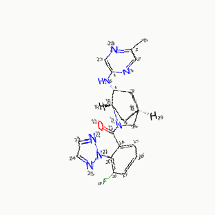 Cc1cnc(N[C@@H]2C[C@@H]3C[C@@H]2N(C(=O)c2cccc(F)c2-n2nccn2)C3)cn1